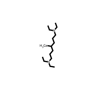 CCN(CC)CCC[CH]([GeH3])CCCN(CC)CC